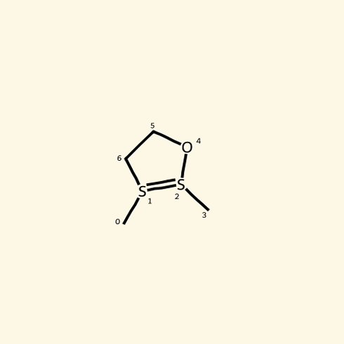 CS1=S(C)OCC1